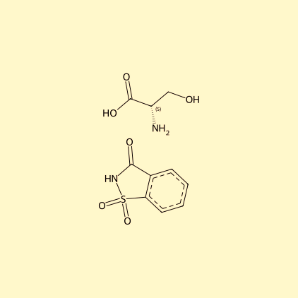 N[C@@H](CO)C(=O)O.O=C1NS(=O)(=O)c2ccccc21